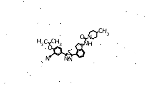 CC1CCN(C(=O)N[C@@H]2CCc3c(-c4nnc(-c5ccc(OC(C)C)c(C#N)c5)s4)cccc32)CC1